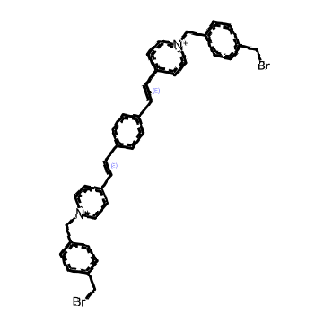 BrCc1ccc(C[n+]2ccc(/C=C/c3ccc(/C=C/c4cc[n+](Cc5ccc(CBr)cc5)cc4)cc3)cc2)cc1